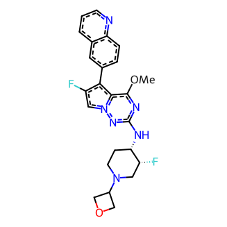 COc1nc(N[C@H]2CCN(C3COC3)C[C@H]2F)nn2cc(F)c(-c3ccc4ncccc4c3)c12